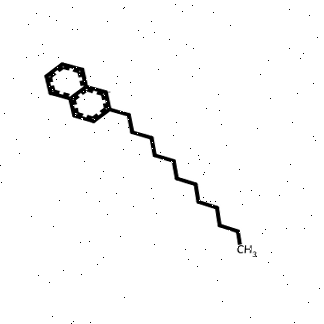 CCCCCCCCCCCCc1[c]c2ccccc2cc1